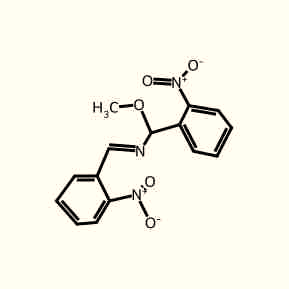 COC(N=Cc1ccccc1[N+](=O)[O-])c1ccccc1[N+](=O)[O-]